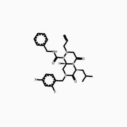 C=CCN1CC(=O)N2[C@@H](CC(C)C)C(=O)N(Cc3ccc(F)cc3F)C[C@@H]2N1C(=O)NCc1ccccc1